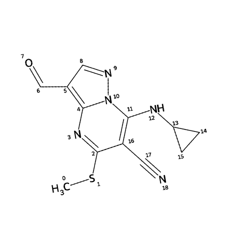 CSc1nc2c(C=O)cnn2c(NC2CC2)c1C#N